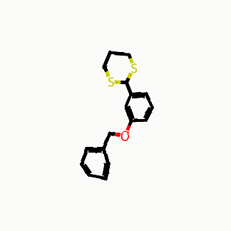 c1ccc(COc2cccc(C3SCCCS3)c2)cc1